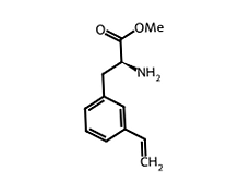 C=Cc1cccc(C[C@H](N)C(=O)OC)c1